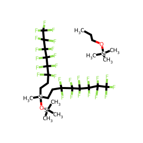 CCCO[Si](C)(C)C.C[Si](C)(C)O[Si](C)(CCC(F)(F)C(F)(F)C(F)(F)C(F)(F)C(F)(F)C(F)(F)F)CCC(F)(F)C(F)(F)C(F)(F)C(F)(F)C(F)(F)C(F)(F)F